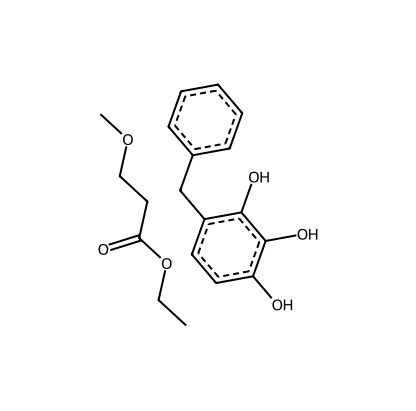 CCOC(=O)CCOC.Oc1ccc(Cc2ccccc2)c(O)c1O